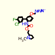 CN1CCCC1CCOC(=O)Nc1ccc(OCN=[N+]=[N-])cc1-c1ccc(F)c(Cl)c1